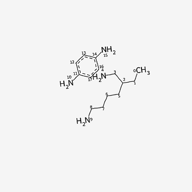 CCC(CN)CCCCN.Nc1ccc(N)cc1